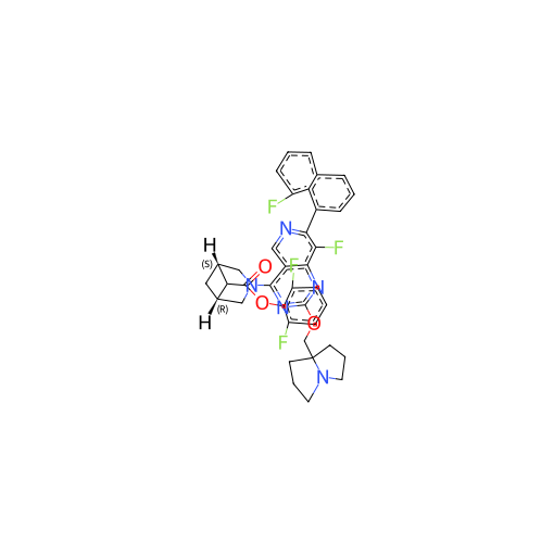 O=C(Oc1c(F)cccc1F)C1[C@@H]2C[C@H]1CN(c1nc(OCC34CCCN3CCC4)nc3c(F)c(-c4cccc5cccc(F)c45)ncc13)C2